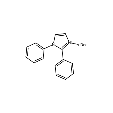 CCCCCCCCCC[n+]1ccn(-c2ccccc2)c1-c1ccccc1